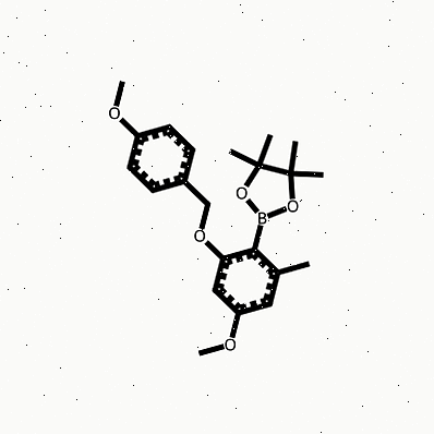 COc1ccc(COc2cc(OC)cc(C)c2B2OC(C)(C)C(C)(C)O2)cc1